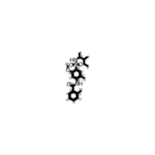 CCC(C)C(C)NS(=O)(=O)c1cc(C)c(NC(=O)c2ccccc2C)cc1OC